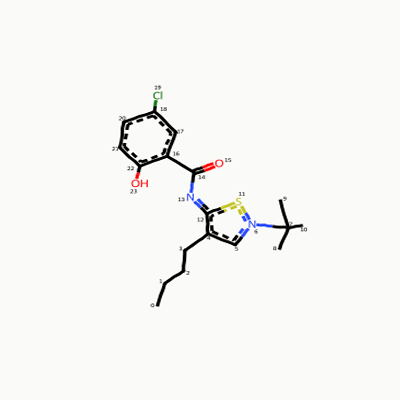 CCCCc1cn(C(C)(C)C)s/c1=N\C(=O)c1cc(Cl)ccc1O